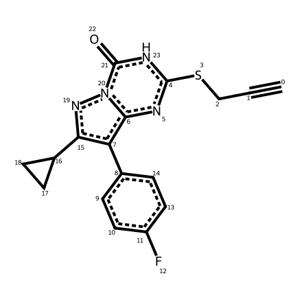 C#CCSc1nc2c(-c3ccc(F)cc3)c(C3CC3)nn2c(=O)[nH]1